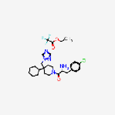 CCOC(=O)C(F)(F)F.N[C@H](Cc1ccc(Cl)cc1)C(=O)N1CCC(Cn2cncn2)(C2CCCCC2)CC1